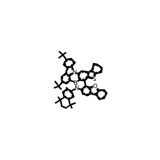 Cc1cc2c(cc1N1B3c4c(cc5c(sc6ccccc65)c4-c4c1ccc1c4oc4ccccc41)-n1c4ccc(C(C)(C)C)cc4c4cc(C(C)(C)C)cc3c41)C(C)(C)CCC2(C)C